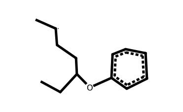 C[CH]CCC(CC)Oc1ccccc1